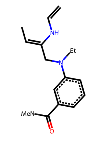 C=CN/C(=C\C)CN(CC)c1cccc(C(=O)NC)c1